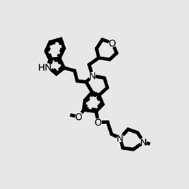 COc1cc2c(cc1OCCN1CCN(C)CC1)CCN(CC1CCOCC1)C2CCc1c[nH]c2ccccc12